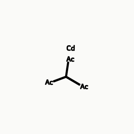 CC(=O)C(C(C)=O)C(C)=O.[Cd]